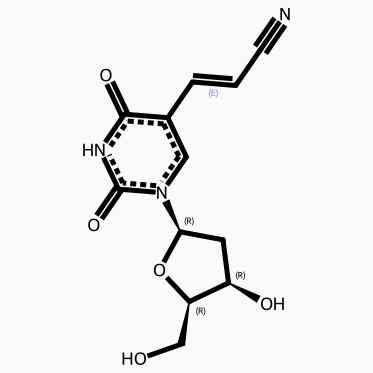 N#C/C=C/c1cn([C@H]2C[C@@H](O)[C@@H](CO)O2)c(=O)[nH]c1=O